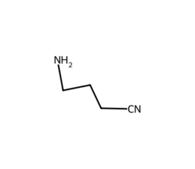 N#CCCCN